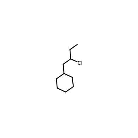 CCC(Cl)C[C]1CC[CH]CC1